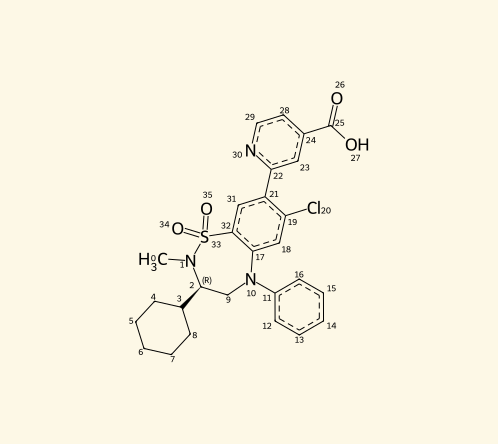 CN1[C@H](C2CCCCC2)CN(c2ccccc2)c2cc(Cl)c(-c3cc(C(=O)O)ccn3)cc2S1(=O)=O